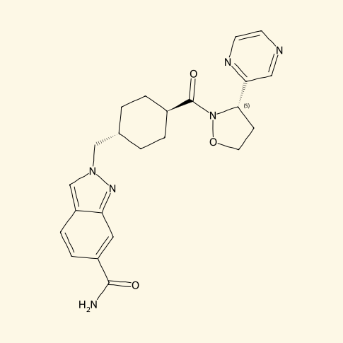 NC(=O)c1ccc2cn(C[C@H]3CC[C@H](C(=O)N4OCC[C@H]4c4cnccn4)CC3)nc2c1